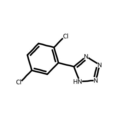 Clc1ccc(Cl)c(-c2nnn[nH]2)c1